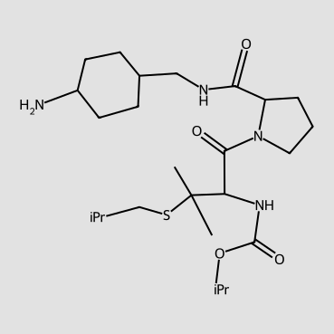 CC(C)CSC(C)(C)C(NC(=O)OC(C)C)C(=O)N1CCCC1C(=O)NCC1CCC(N)CC1